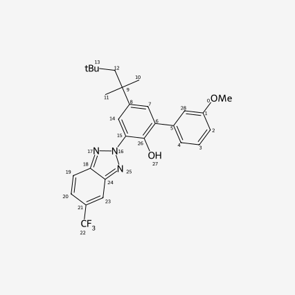 COc1cccc(-c2cc(C(C)(C)CC(C)(C)C)cc(-n3nc4ccc(C(F)(F)F)cc4n3)c2O)c1